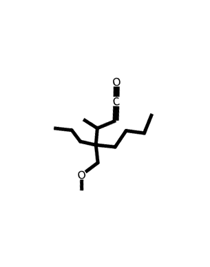 CCCCC(CCC)(COC)C(C)C=C=O